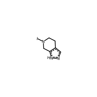 IN1CCc2cn[nH]c2C1